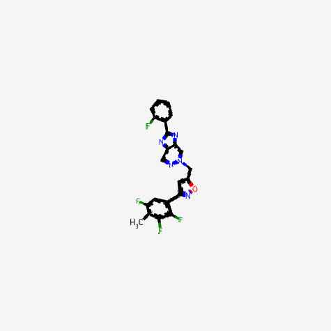 Cc1c(F)cc(-c2cc(Cn3cc4nc(-c5ccccc5F)nc-4cn3)on2)c(F)c1F